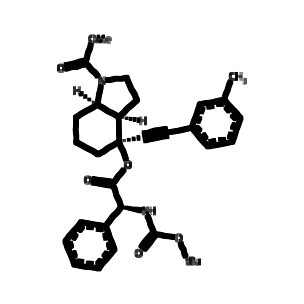 COC(=O)N1CC[C@@H]2[C@H]1CCC[C@]2(C#Cc1cccc(C)c1)OC(=O)[C@@H](NC(=O)OC(C)(C)C)c1ccccc1